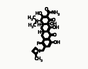 CC1CCN1Cc1cc(O)c2c(c1F)C[C@H]1C[C@H]3[C@H](N(C)C)C(O)=C(C(N)=O)C(=O)[C@@]3(O)C(O)=C1C2=O